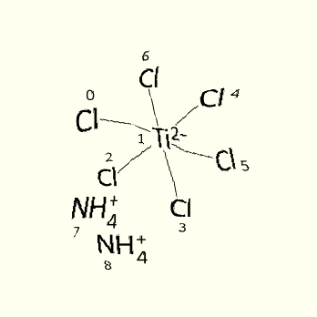 [Cl][Ti-2]([Cl])([Cl])([Cl])([Cl])[Cl].[NH4+].[NH4+]